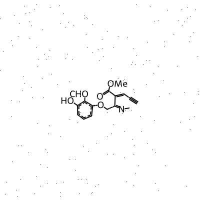 C#C/C=C(C(=O)OC)\C(COc1cccc(O)c1C=O)=N/C